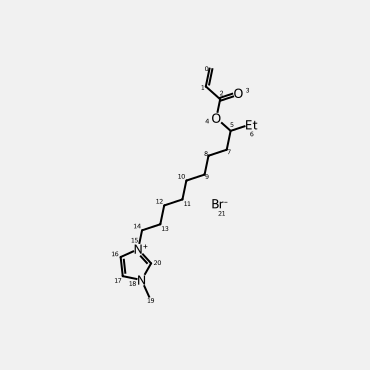 C=CC(=O)OC(CC)CCCCCCCC[n+]1ccn(C)c1.[Br-]